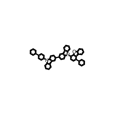 c1ccc(-c2ccc(-n3c4ccccc4c4cc(-c5ccc6c(c5)c5ccccc5n6-c5ccc(-c6ccccc6)c6c5oc5ccccc56)ccc43)cc2)cc1